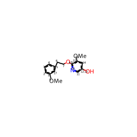 COc1cccc(CCOc2ncc(O)cc2OC)c1